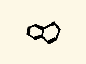 [c]1ccc2c(c1)C=CCS2